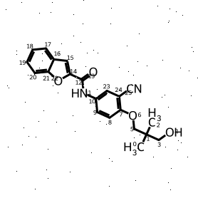 CC(C)(CO)COc1ccc(NC(=O)c2cc3ccccc3o2)cc1C#N